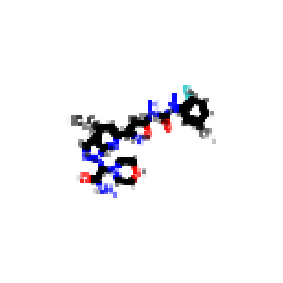 NC(=O)C(N1CCOCC1)n1ncc2c(C(=O)O)cc(-c3cc(NC(=O)Nc4cc(C(F)(F)F)ccc4F)on3)nc21